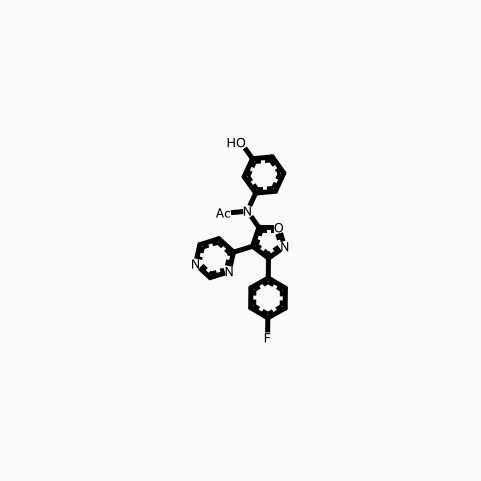 CC(=O)N(c1cccc(O)c1)c1onc(-c2ccc(F)cc2)c1-c1ccncn1